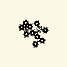 c1ccc(-c2nc(-c3ccccc3)nc(-n3c4ccc(-c5cccc6nc7n(c56)-c5ccccc5C75c6ccccc6-c6ccccc65)cc4c4cc5c(cc43)c3ccccc3n5-c3ccccc3)n2)cc1